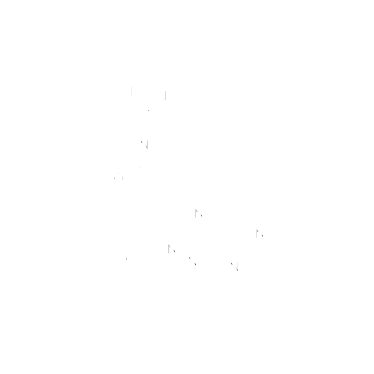 Cc1ccn(-c2ncncc2N2CCC(C(=O)N3CC(F)(F)C3)CC2)n1